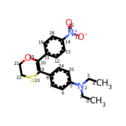 CCN(CC)c1ccc(C2=C(c3ccc([N+](=O)[O-])cc3)OCCS2)cc1